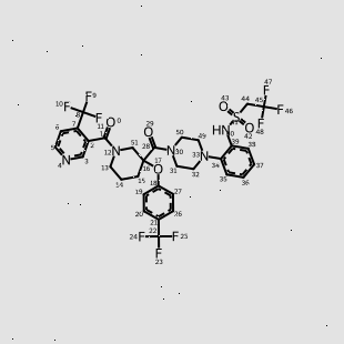 O=C(c1cnccc1C(F)(F)F)N1CCCC(Oc2ccc(C(F)(F)F)cc2)(C(=O)N2CCN(c3ccccc3NS(=O)(=O)CC(F)(F)F)CC2)C1